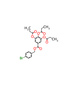 CCC(=O)Oc1cc(C(=O)OCc2ccc(Br)cc2)cc(OC(=O)CC)c1OC(=O)CC